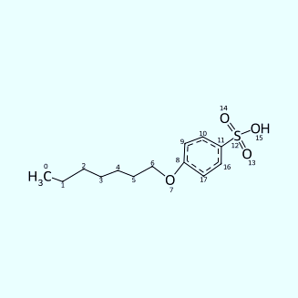 CCCCCCCOc1ccc(S(=O)(=O)O)cc1